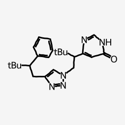 CC(C)(C)C(Cc1cn(CC(c2cc(=O)[nH]cn2)C(C)(C)C)nn1)c1ccccc1